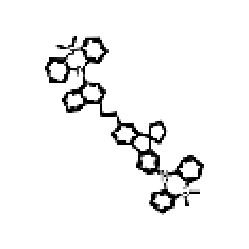 CS1(C)c2ccccc2N(c2ccc3c(c2)C2(CCCC2)c2cc(/C=C/c4ccc(N5c6ccccc6S(C)(C)c6ccccc65)c5ccccc45)ccc2-3)c2ccccc21